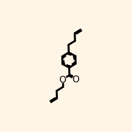 C=CCCOC(=O)c1ccc(CCC=C)cc1